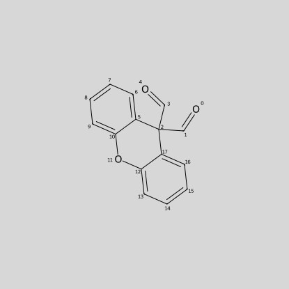 O=CC1(C=O)c2ccccc2Oc2ccccc21